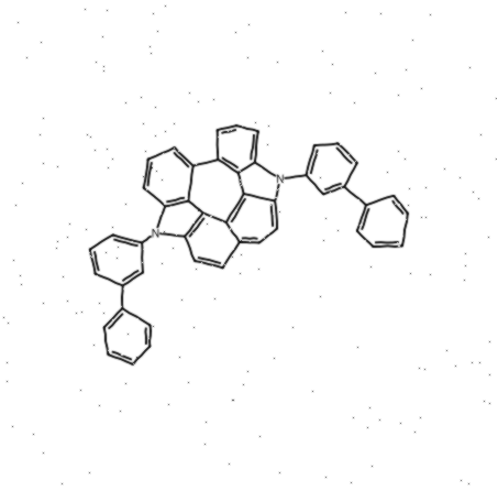 c1ccc(-c2cccc(-n3c4cccc5c4c4c6c(ccc43)ccc3c6c4c-5cccc4n3-c3cccc(-c4ccccc4)c3)c2)cc1